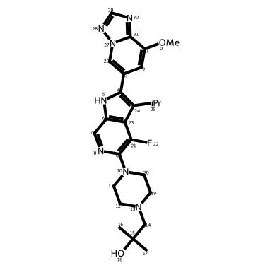 COc1cc(-c2[nH]c3cnc(N4CCN(CC(C)(C)O)CC4)c(F)c3c2C(C)C)cn2ncnc12